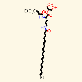 CCC=CCC=CCC=CCC=CCC=CCCCC(=O)NCCC[C@H](NC(=O)C=CC(=O)OCC)C(=O)OC(CO)CO